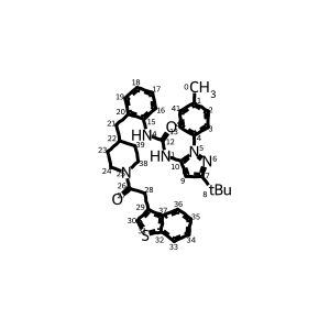 Cc1ccc(-n2nc(C(C)(C)C)cc2NC(=O)Nc2ccccc2CC2CCN(C(=O)Cc3csc4ccccc34)CC2)cc1